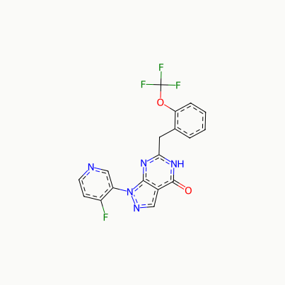 O=c1[nH]c(Cc2ccccc2OC(F)(F)F)nc2c1cnn2-c1cnccc1F